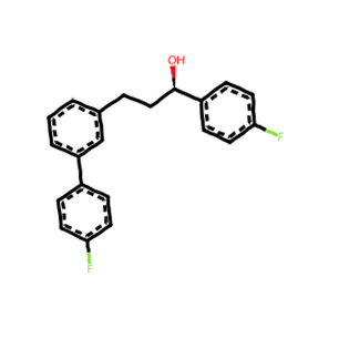 O[C@H](CCc1[c]ccc(-c2ccc(F)cc2)c1)c1ccc(F)cc1